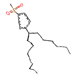 CCCCCCC(CCCCCC)c1ccc(S(C)(=O)=O)cc1